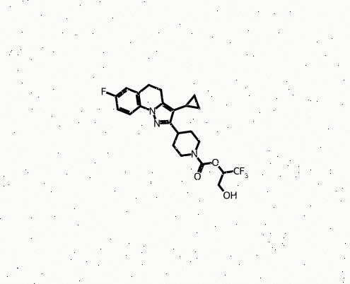 O=C(OC(CO)C(F)(F)F)N1CCC(c2nn3c(c2C2CC2)CCc2cc(F)ccc2-3)CC1